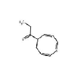 CCC(=O)C1C=CC=NC=CC1